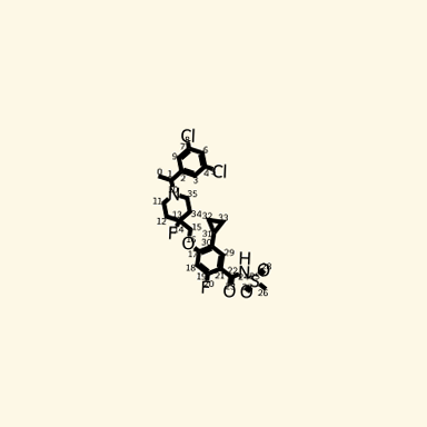 CC(c1cc(Cl)cc(Cl)c1)N1CCC(F)(COc2cc(F)c(C(=O)NS(C)(=O)=O)cc2C2CC2)CC1